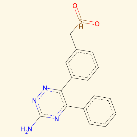 Nc1nnc(-c2cccc(C[SH](=O)=O)c2)c(-c2ccccc2)n1